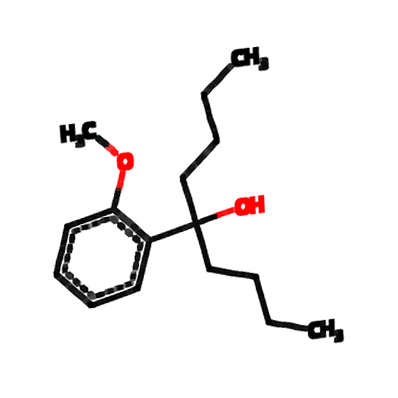 CCCCC(O)(CCCC)c1ccccc1OC